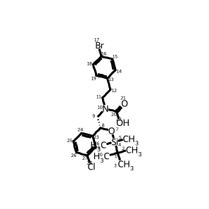 CC(C)(C)[Si](C)(C)O[C@@H](CN(CCc1ccc(Br)cc1)C(=O)O)c1cccc(Cl)c1